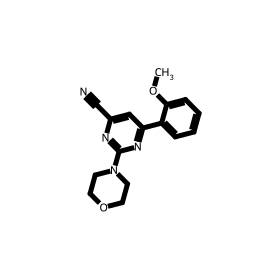 COc1ccccc1-c1cc(C#N)nc(N2CCOCC2)n1